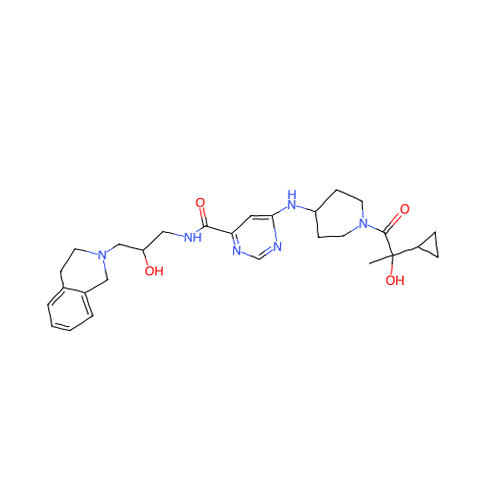 CC(O)(C(=O)N1CCC(Nc2cc(C(=O)NCC(O)CN3CCc4ccccc4C3)ncn2)CC1)C1CC1